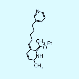 CCO/C(C)=C1\NC(C)C=C\C1=C\CCCCc1cccnc1